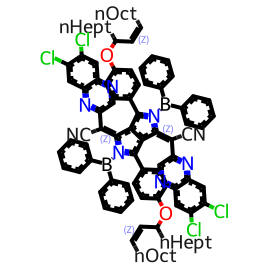 CCCCCCCC/C=C\C(CCCCCCC)Oc1ccc(-c2c3/c(=C(/C#N)c4cnc5cc(Cl)c(Cl)cc5n4)n(B(c4ccccc4)c4ccccc4)c(-c4ccc(OC(/C=C\CCCCCCCC)CCCCCCC)cc4)c3/c(=C(/C#N)c3cnc4cc(Cl)c(Cl)cc4n3)n2B(c2ccccc2)c2ccccc2)cc1